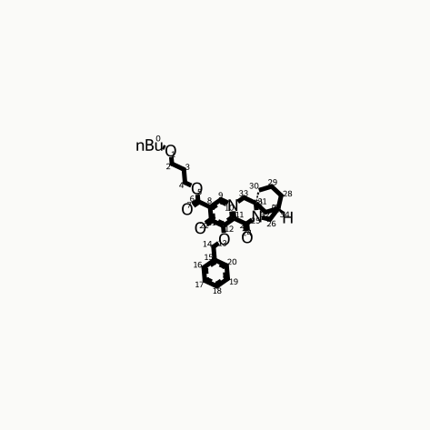 CCCCOCCCOC(=O)c1cn2c(c(OCc3ccccc3)c1=O)C(=O)N1C[C@H]3CCC[C@@]1(C3)C2